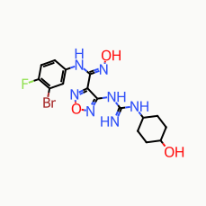 N=C(Nc1nonc1/C(=N/O)Nc1ccc(F)c(Br)c1)NC1CCC(O)CC1